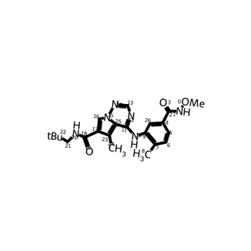 CONC(=O)c1ccc(C)c(Nc2ncnn3cc(C(=O)NCC(C)(C)C)c(C)c23)c1